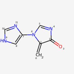 C=C1C(=O)N=CN1c1c[nH]cn1